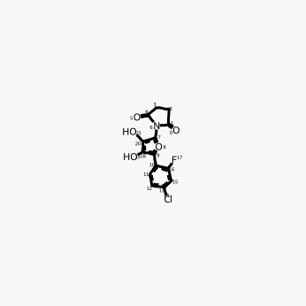 O=C1CCC(=O)N1c1oc(-c2ccc(Cl)cc2F)c(O)c1O